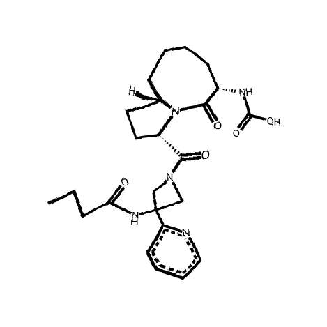 CCCC(=O)NC1(c2ccccn2)CN(C(=O)[C@@H]2CC[C@@H]3CCCC[C@H](NC(=O)O)C(=O)N32)C1